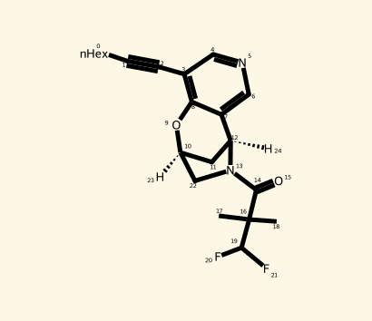 CCCCCCC#Cc1cncc2c1O[C@H]1C[C@@H]2N(C(=O)C(C)(C)C(F)F)C1